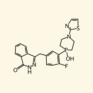 O=c1[nH]nc(Cc2ccc(F)c([P]3(O)CCN(c4nccs4)CC3)c2)c2ccccc12